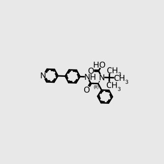 CC(C)(C)N(C(=O)O)[C@@H](C(=O)Nc1ccc(-c2ccncc2)cc1)c1ccccc1